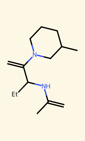 C=C(C)NC(CC)C(=C)N1CCCC(C)C1